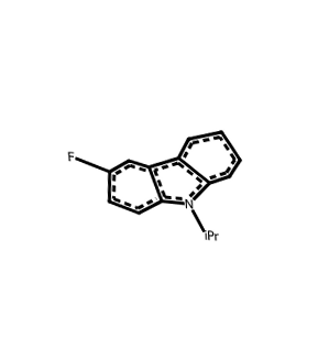 CC(C)n1c2ccccc2c2cc(F)ccc21